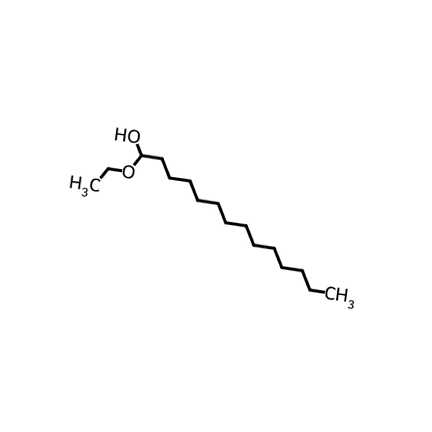 CCCCCCCCCCCCCC(O)OCC